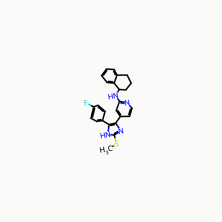 CSc1nc(-c2ccnc(NC3CCCc4ccccc43)c2)c(-c2ccc(F)cc2)[nH]1